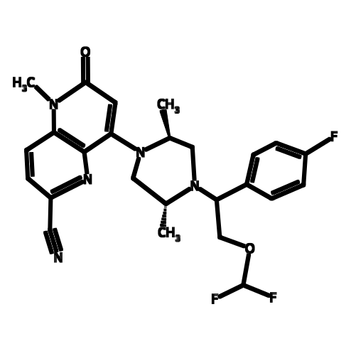 C[C@@H]1CN(c2cc(=O)n(C)c3ccc(C#N)nc23)[C@@H](C)CN1C(COC(F)F)c1ccc(F)cc1